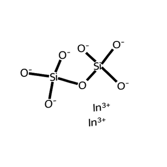 [In+3].[In+3].[O-][Si]([O-])([O-])O[Si]([O-])([O-])[O-]